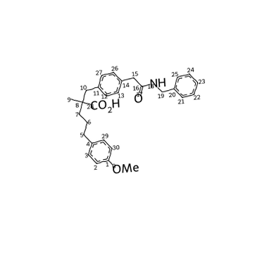 COc1ccc(CCCC(C)(Cc2ccc(CC(=O)NCc3ccccc3)cc2)C(=O)O)cc1